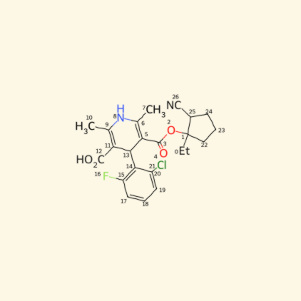 CCC1(OC(=O)C2=C(C)NC(C)=C(C(=O)O)C2c2c(F)cccc2Cl)CCCC1C#N